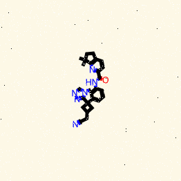 Cn1cnnc1C1(c2cccc(NC(=O)c3ccc4c(n3)C(C)(C)CC4)c2)CC(CC#N)C1